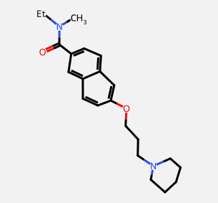 CCN(C)C(=O)c1ccc2cc(OCCCN3CCCCC3)ccc2c1